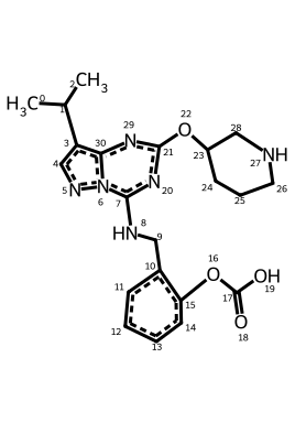 CC(C)c1cnn2c(NCc3ccccc3OC(=O)O)nc(OC3CCCNC3)nc12